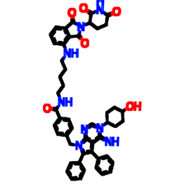 N=c1c2c(-c3ccccc3)c(-c3ccccc3)n(Cc3ccc(C(=O)NCCCCCNc4cccc5c4C(=O)N(C4CCC(=O)NC4=O)C5=O)cc3)c2ncn1C1CCC(O)CC1